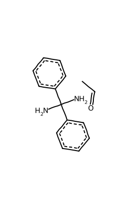 CC=O.NC(N)(c1ccccc1)c1ccccc1